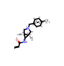 C=CC(=O)NC1[C@H]2CN(CC34CCC(C(F)(F)F)(CC3)CC4)C[C@@H]12